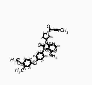 CC#CC(=O)N1CCC(n2c(=O)n(-c3ccc(Oc4ccc(OC)c(C)c4)cc3)c3c(N)ncnc32)C1